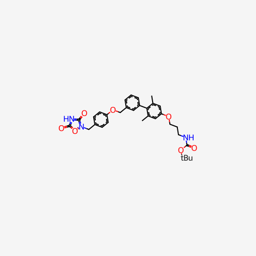 Cc1cc(OCCCNC(=O)OC(C)(C)C)cc(C)c1-c1cccc(COc2ccc(Cn3oc(=O)[nH]c3=O)cc2)c1